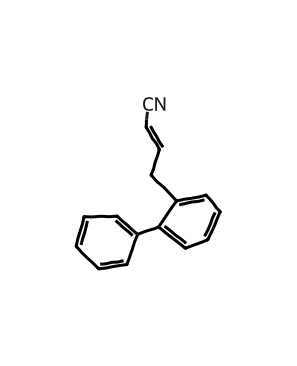 N#CC=CCc1ccccc1-c1ccccc1